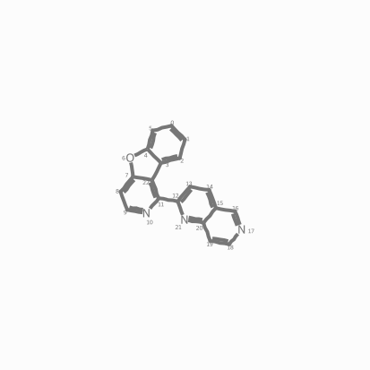 c1ccc2c(c1)oc1ccnc(-c3ccc4cnccc4n3)c12